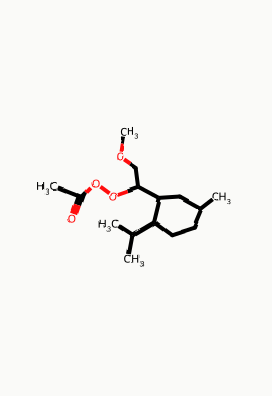 COCC(OOC(C)=O)C1CC(C)CCC1C(C)C